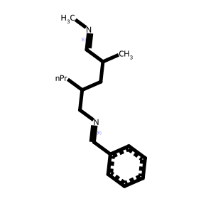 CCCC(C/N=C/c1ccccc1)CC(C)/C=N/C